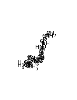 CCNC(=O)COCC(=O)NCC(=O)Nc1ccc(COC(=O)O[C@@H]2C(=O)OCc3c2cc2n(c3=O)Cc3c-2nc2ccccc2c3CCN(C(C)C)S(C)(=O)=O)cc1